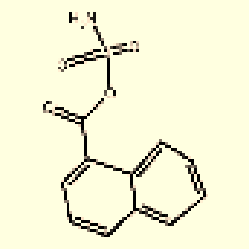 NS(=O)(=O)OC(=O)c1cccc2ccccc12